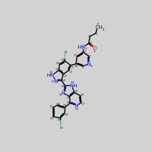 CCCC(=O)Nc1cncc(-c2cc3c(-c4nc5c(-c6cccc(F)c6)nccc5[nH]4)n[nH]c3cc2F)c1